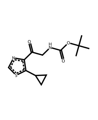 CC(C)(C)OC(=O)NCC(=O)c1ncsc1C1CC1